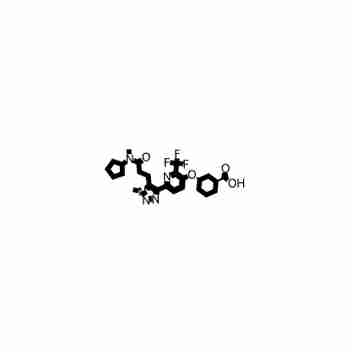 CN(C(=O)CCc1c(-c2ccc(O[C@H]3CCC[C@H](C(=O)O)C3)c(C(F)(F)F)n2)nnn1C)C1CCCC1